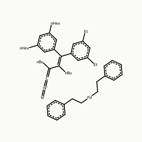 CCCCCCc1cc(CCCCCC)cc(C(=C(CCCC)C(=C=[N+]=[N-])CCCC)c2cc(CC)cc(CC)c2)c1.c1ccc(C[CH2][Pd][CH2]Cc2ccccc2)cc1